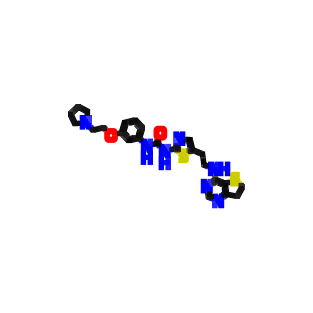 O=C(Nc1cccc(OCCN2CCCC2)c1)Nc1ncc(CCNc2ncnc3c2SCC3)s1